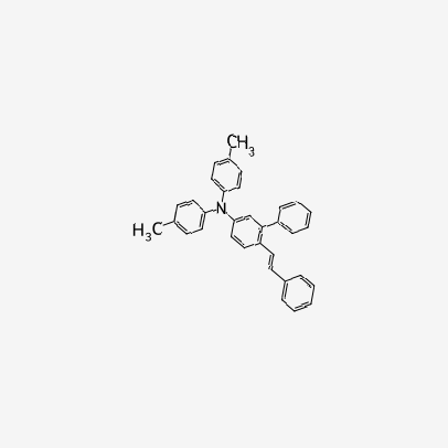 Cc1ccc(N(c2ccc(C)cc2)c2ccc(C=Cc3ccccc3)c(-c3ccccc3)c2)cc1